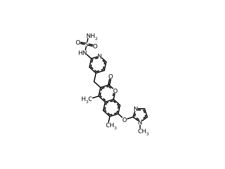 Cc1cc2c(C)c(Cc3ccnc(NS(N)(=O)=O)c3)c(=O)oc2cc1Oc1nccn1C